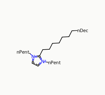 CCCCCCCCCCCCCCCCCc1n(CCCCC)cc[n+]1CCCCC